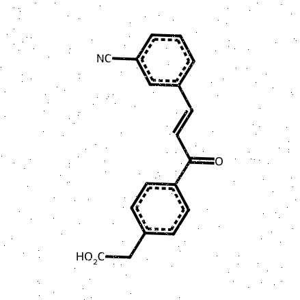 N#Cc1cccc(C=CC(=O)c2ccc(CC(=O)O)cc2)c1